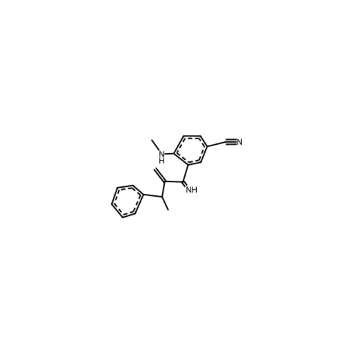 C=C(C(=N)c1cc(C#N)ccc1NC)C(C)c1ccccc1